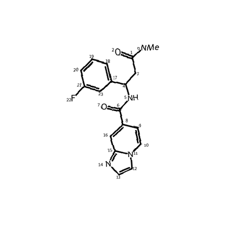 CNC(=O)CC(NC(=O)c1ccn2ccnc2c1)c1cccc(F)c1